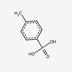 [CH2]c1ccc(P(=O)(O)O)cc1